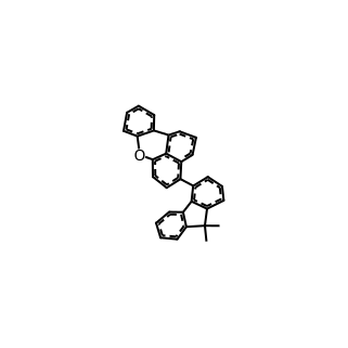 CC1(C)c2ccccc2-c2c(-c3ccc4c5c(cccc35)-c3ccccc3O4)cccc21